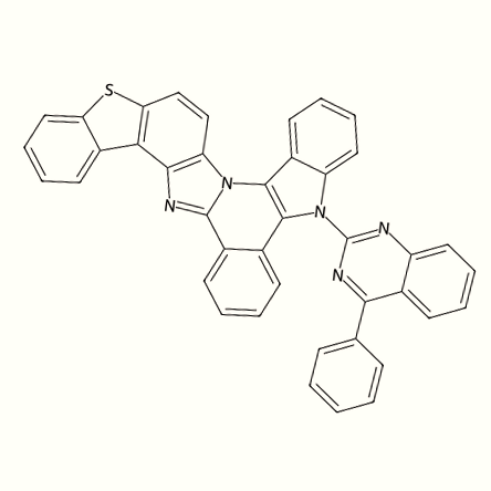 c1ccc(-c2nc(-n3c4ccccc4c4c3c3ccccc3c3nc5c6c(ccc5n34)sc3ccccc36)nc3ccccc23)cc1